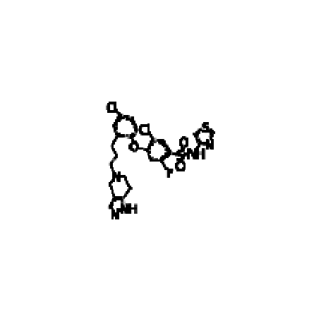 O=S(=O)(Nc1cscn1)c1cc(Cl)c(Oc2ccc(Cl)cc2CCCN2CCc3[nH]ncc3C2)cc1F